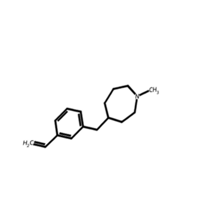 C=Cc1cccc(CC2CCCN(C)CC2)c1